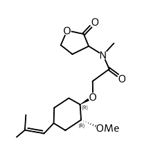 CO[C@@H]1CC(C=C(C)C)CC[C@H]1OCC(=O)N(C)C1CCOC1=O